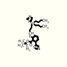 CC(C)(C)OC(=O)c1c(F)cccc1-c1cncs1.CCC[CH2][Sn]([CH2]CCC)([CH2]CCC)[c]1cncs1